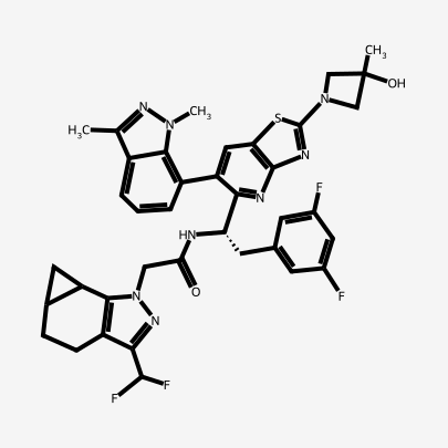 Cc1nn(C)c2c(-c3cc4sc(N5CC(C)(O)C5)nc4nc3[C@H](Cc3cc(F)cc(F)c3)NC(=O)Cn3nc(C(F)F)c4c3C3CC3CC4)cccc12